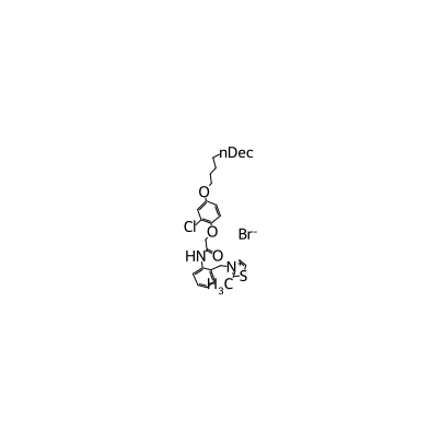 CCCCCCCCCCCCCCOc1ccc(OCC(=O)Nc2ccccc2C[n+]2ccsc2C)c(Cl)c1.[Br-]